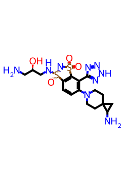 NC[C@@H](O)CNS1(=O)=NS(=O)(=O)c2c1ccc(N1CCC3(CC1)CC3N)c2-c1nn[nH]n1